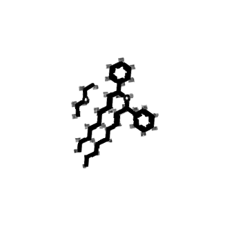 CCCCCCC=CC(OC(C=CCCCCCC)c1ccccc1)c1ccccc1.CCOCC